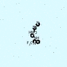 O=C(N[C@@H]1CCC[C@H](Nc2cc(C(F)(F)F)nc3ccccc23)C1)c1cnn(-c2cccnc2)c1